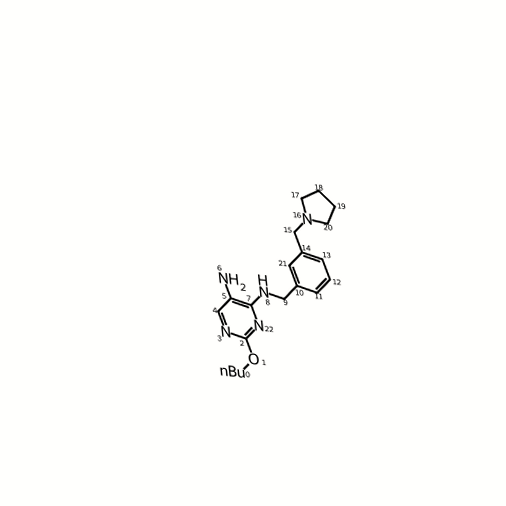 CCCCOc1ncc(N)c(NCc2cccc(CN3CCCC3)c2)n1